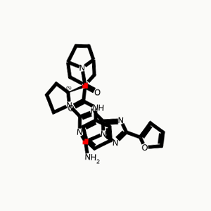 Nc1nc(N2CCC[C@H]2C(=O)N2C3CCC2CN(C(=O)Nc2ccccc2)C3)nc2nc(-c3ccco3)nn12